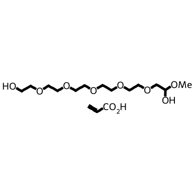 C=CC(=O)O.COC(O)COCCOCCOCCOCCOCCO